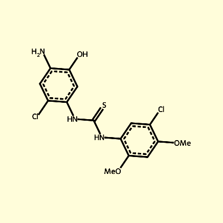 COc1cc(OC)c(NC(=S)Nc2cc(O)c(N)cc2Cl)cc1Cl